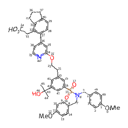 COc1ccc(CN(Cc2ccc(OC)cc2)S(=O)(=O)c2cc(CCOc3cc(-c4ccc5c(c4CC(=O)O)CCC5)ccn3)cc(C(C)(C)O)c2)cc1